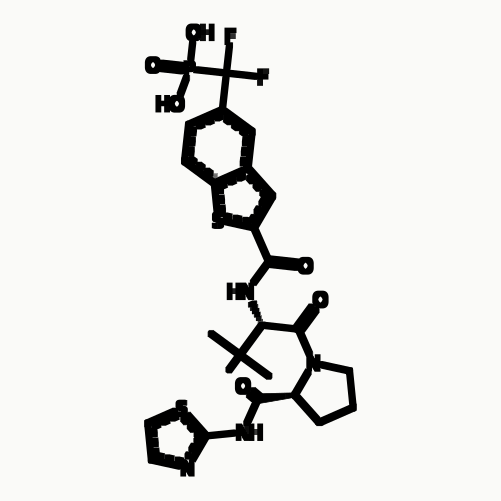 CC(C)(C)[C@H](NC(=O)c1cc2cc(C(F)(F)P(=O)(O)O)ccc2s1)C(=O)N1CCC[C@H]1C(=O)Nc1nccs1